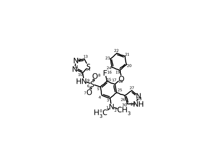 CN(C)c1cc(S(=O)(=O)Nc2nncs2)c(F)c(Oc2ccccc2)c1-c1cn[nH]c1